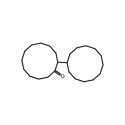 O=C1CCCCCCCCCCC1C1CCCCCCCCCCC1